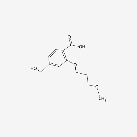 COCCCOc1cc(CO)ccc1C(=O)O